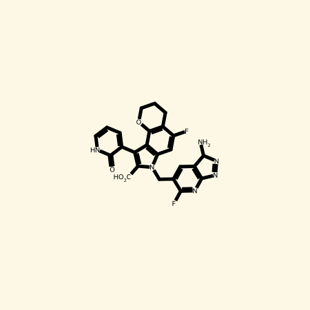 NC1N=Nc2nc(F)c(Cn3c(C(=O)O)c(-c4ccc[nH]c4=O)c4c5c(c(F)cc43)CCCO5)cc21